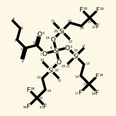 C=C(CCC)C(=O)O[Si](O[Si](C)(C)CCC(F)(F)F)(O[Si](C)(C)CCC(F)(F)F)O[Si](C)(C)CCC(F)(F)F